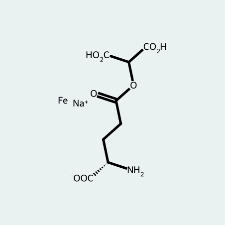 N[C@@H](CCC(=O)OC(C(=O)O)C(=O)O)C(=O)[O-].[Fe].[Na+]